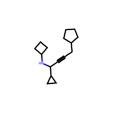 C(#CC(NC1CCC1)C1CC1)CC1CCCC1